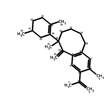 C=C(C)c1cc2c(cc1C)CCCCC(C)(C1=C(C)CCC(C)C1)C2=C